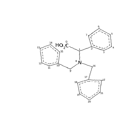 O=C(O)C(c1ccccc1)N(Cc1ccccc1)Cc1ccccc1